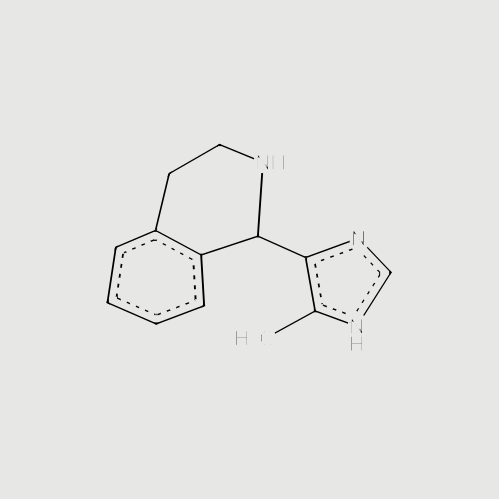 Cc1[nH]cnc1C1NCCc2ccccc21